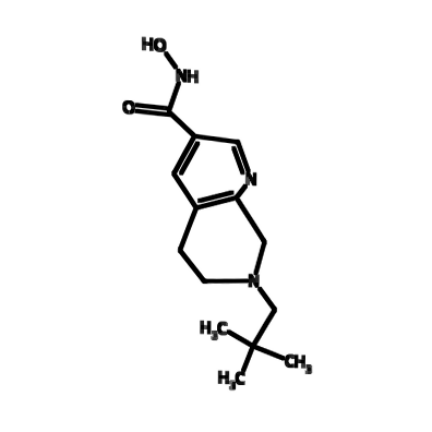 CC(C)(C)CN1CCc2cc(C(=O)NO)cnc2C1